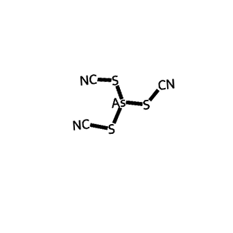 N#CS[As](SC#N)SC#N